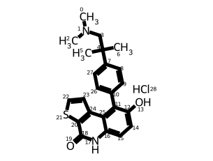 CN(C)CC(C)(C)c1ccc(-c2c(O)ccc3[nH]c(=O)c4sccc4c23)cc1.Cl